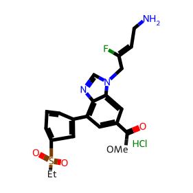 CCS(=O)(=O)c1cccc(-c2cc(C(=O)OC)cc3c2ncn3C/C(F)=C/CN)c1.Cl